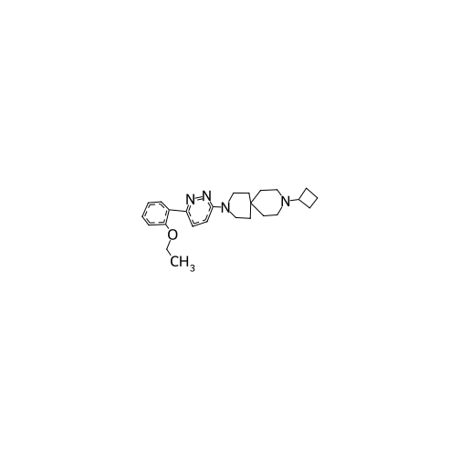 CCOc1ccccc1-c1ccc(N2CCC3(CC2)CCN(C2CCC2)CC3)nn1